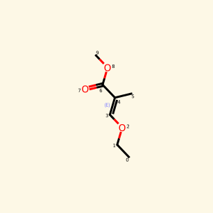 CCO/C=C(\C)C(=O)OC